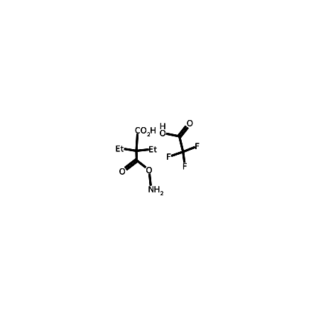 CCC(CC)(C(=O)O)C(=O)ON.O=C(O)C(F)(F)F